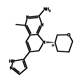 Cc1nc(N)nc2c1C=C(c1ccn[nH]1)CN2[C@H]1CCCOC1